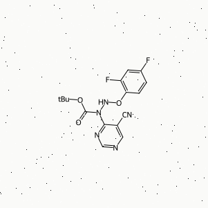 CC(C)(C)OC(=O)N(NOc1ccc(F)cc1F)c1ncncc1C#N